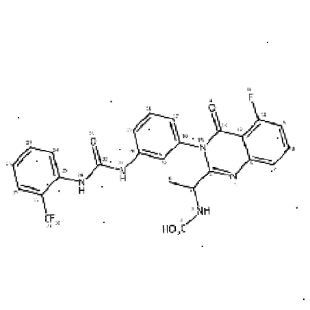 CC(NC(=O)O)c1nc2cccc(F)c2c(=O)n1-c1cccc(NC(=O)Nc2ccccc2C(F)(F)F)c1